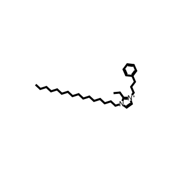 CCCCCCCCCCCCCCCCn1cc[n+](CCCc2ccccc2)c1CC